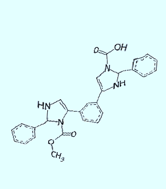 COC(=O)N1C(c2cccc(C3=CN(C(=O)O)C(c4ccccc4)N3)c2)=CNC1c1ccccc1